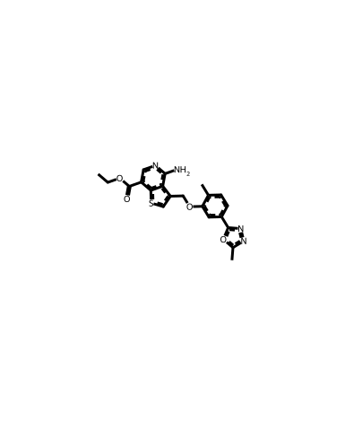 CCOC(=O)c1cnc(N)c2c(COc3cc(-c4nnc(C)o4)ccc3C)csc12